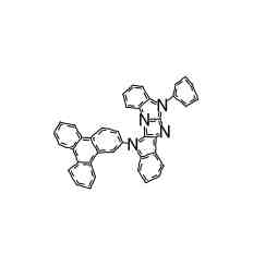 c1ccc(-n2c3ccccc3n3c2nc2c4ccccc4n(-c4ccc5c6ccccc6c6ccccc6c5c4)c23)cc1